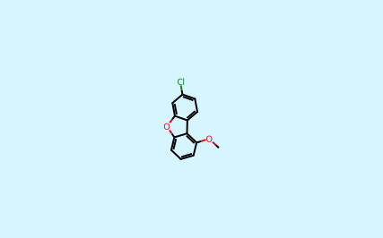 COc1cccc2oc3cc(Cl)ccc3c12